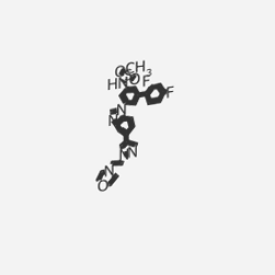 CS(=O)(=O)Nc1cc(-c2ccc(F)cc2F)cc(-n2cnc3cc(-c4cnn(CCN5CCOCC5)c4)ccc32)c1